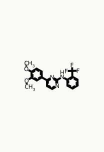 COc1ccc(-c2ccnc(Nc3ccccc3C(F)(F)F)n2)cc1OC